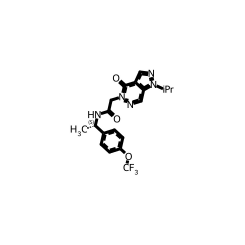 CC(C)n1ncc2c(=O)n(CC(=O)N[C@@H](C)c3ccc(OC(F)(F)F)cc3)ncc21